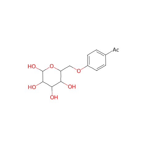 CC(=O)c1ccc(OCC2OC(O)C(O)C(O)C2O)cc1